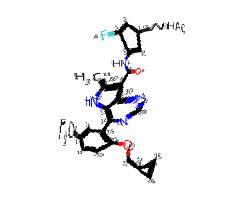 CC(=O)NC1CC(F)C(NC(=O)c2c(C)[nH]c3c(-c4cc(C(F)(F)F)ccc4OCC4CC4)ncnc23)C1